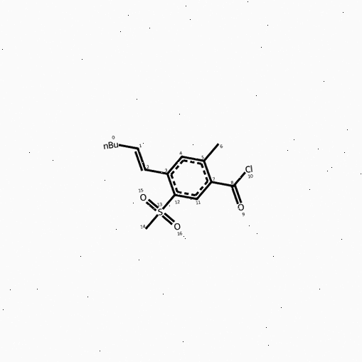 CCCCC=Cc1cc(C)c(C(=O)Cl)cc1S(C)(=O)=O